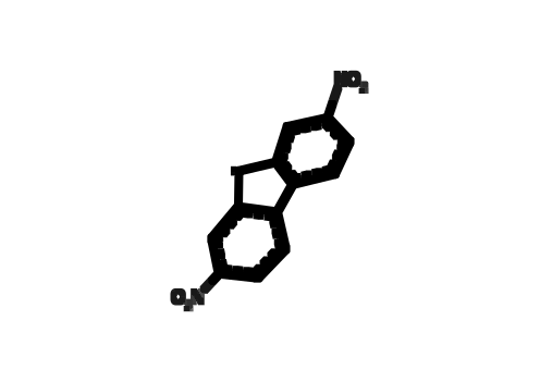 O=[N+]([O-])c1ccc2c(c1)[C]c1cc([N+](=O)[O-])ccc1-2